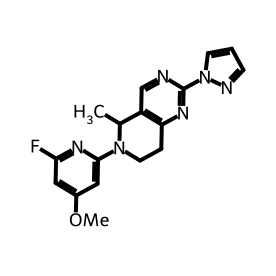 COc1cc(F)nc(N2CCc3nc(-n4cccn4)ncc3C2C)c1